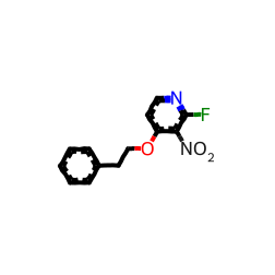 O=[N+]([O-])c1c(OCCc2ccccc2)ccnc1F